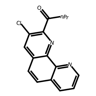 CCCC(=O)c1nc2c(ccc3cccnc32)cc1Cl